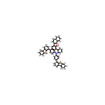 c1ccc(N(c2ccc(-c3cccc4c3sc3ccccc34)cc2)c2ccc(-c3cccc4c3sc3ccccc34)cc2)c(-c2cccc3c2oc2c4ccccc4ccc32)c1